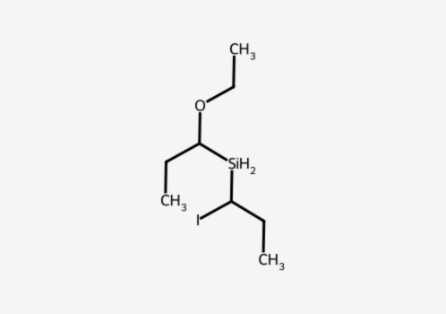 CCOC(CC)[SiH2]C(I)CC